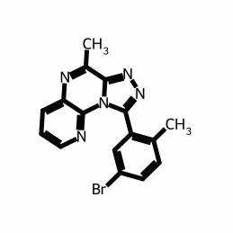 Cc1ccc(Br)cc1-c1nnc2c(C)nc3cccnc3n12